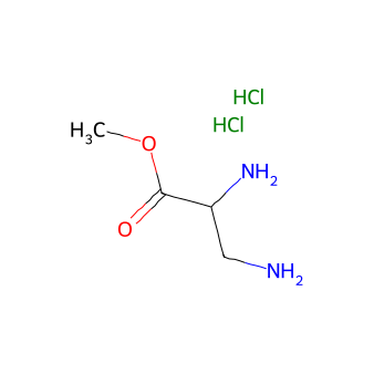 COC(=O)C(N)CN.Cl.Cl